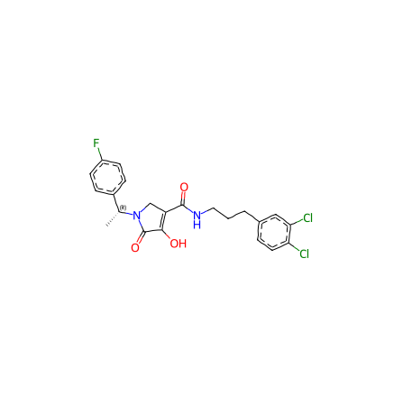 C[C@H](c1ccc(F)cc1)N1CC(C(=O)NCCCc2ccc(Cl)c(Cl)c2)=C(O)C1=O